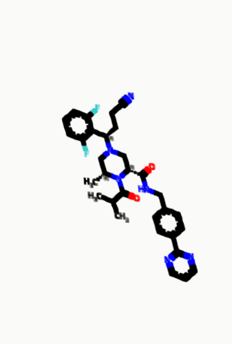 CC(C)C(=O)N1[C@H](C)CN([C@H](CCC#N)c2c(F)cccc2F)C[C@@H]1C(=O)NCc1ccc(-c2ncccn2)cc1